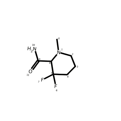 CN1CC[CH]C(F)(F)C1C(N)=O